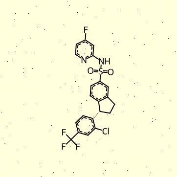 O=S(=O)(Nc1cc(F)ccn1)c1ccc2c(c1)CC[C@@H]2c1ccc(C(F)(F)F)cc1Cl